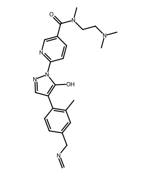 C=NCc1ccc(-c2cnn(-c3ccc(C(=O)N(C)CCN(C)C)cn3)c2O)c(C)c1